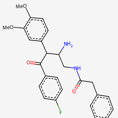 COc1ccc(C(C(=O)c2ccc(F)cc2)C(N)CNC(=O)Cc2ccccc2)cc1OC